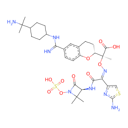 CC(C)(N)C1CCC(NC(=N)c2ccc3c(c2)CC[C@H]([C@](C)(O/N=C(\C(=O)N[C@@H]2C(=O)N(OS(=O)(=O)O)C2(C)C)c2csc(N)n2)C(=O)O)O3)CC1